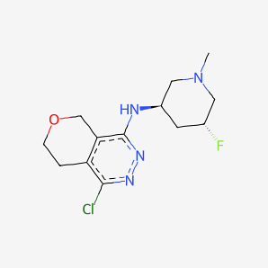 CN1C[C@H](F)C[C@@H](Nc2nnc(Cl)c3c2COCC3)C1